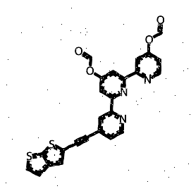 O=COc1ccnc(-c2cc(OC=O)cc(-c3cc(C#Cc4cc5ccsc5s4)ccn3)n2)c1